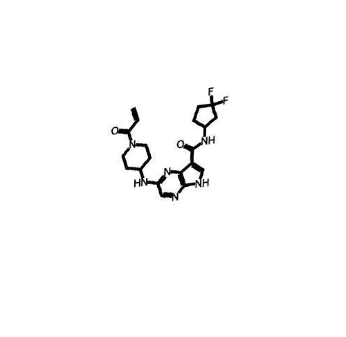 C=CC(=O)N1CCC(Nc2cnc3[nH]cc(C(=O)NC4CCC(F)(F)C4)c3n2)CC1